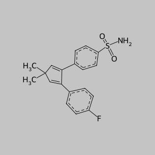 CC1(C)C=C(c2ccc(F)cc2)C(c2ccc(S(N)(=O)=O)cc2)=C1